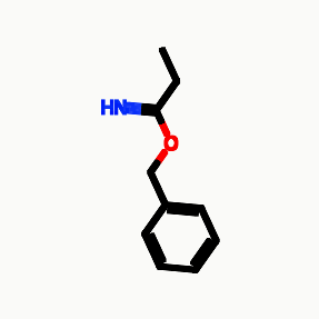 CCC(=N)OCc1ccccc1